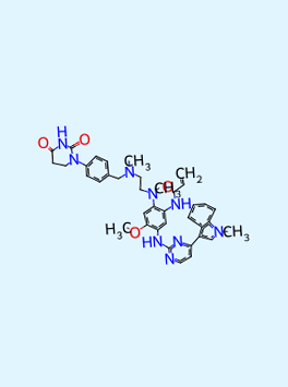 C=CC(=O)Nc1cc(Nc2nccc(-c3cn(C)c4ccccc34)n2)c(OC)cc1N(C)CCN(C)Cc1ccc(N2CCC(=O)NC2=O)cc1